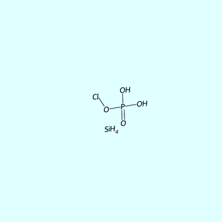 O=P(O)(O)OCl.[SiH4]